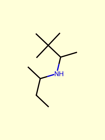 CCC(C)NC(C)C(C)(C)C